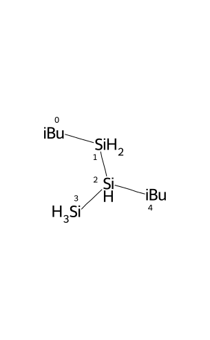 CCC(C)[SiH2][SiH]([SiH3])C(C)CC